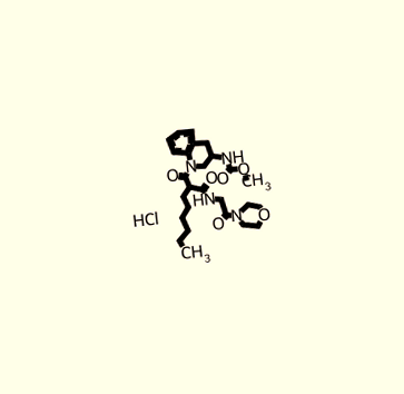 CCCCCCC(C(=O)NCC(=O)N1CCOCC1)C(=O)N1CC(NC(=O)OC)Cc2ccccc21.Cl